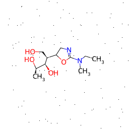 CCN(C)C1=NCC([C@H](CO)[C@@H](O)[C@@H](C)O)O1